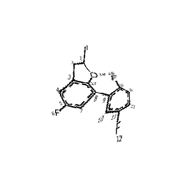 CC1Cc2cc(F)cc(-c3cc(F)ccc3F)c2O1